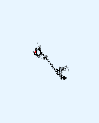 CN[C@H](C)C(=O)N[C@@H](C(=O)N1CCC[C@@H]1C1=NC(C(=O)c2ccc(F)cc2)CS1)C1CCN(CCOCCOCCOCCOCCC(=O)NCCn2cc3c(n2)CN(C)C(=O)c2ccc(F)cc2[C@H]2CCCN2c2cc-3cnc2N)CC1